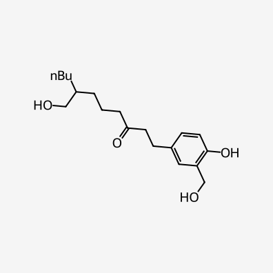 CCCCC(CO)CCCC(=O)CCc1ccc(O)c(CO)c1